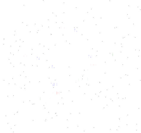 Cc1ccc(F)cc1C(C)(C)CC(O)(Cc1cc2cc(CN3CCOCC3)ccc2[nH]1)C(F)(F)F.Cc1ccc(F)cc1C(C)(C)CC(O)(Cc1cc2cc(CN3CCOCC3)ncc2[nH]1)C(F)(F)F